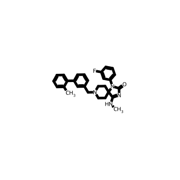 CNC1=NC(=O)N(c2cccc(F)c2)C12CCN(Cc1cccc(-c3ccccc3C)c1)CC2